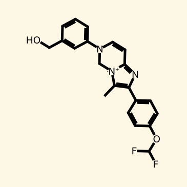 CC1=C(c2ccc(OC(F)F)cc2)N=C2C=CN(c3cccc(CO)c3)C[N+]21